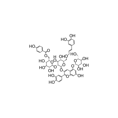 O=C(OC[C@H]1O[C@@H](O[C@H]2[C@H](Oc3cc4c(O[C@@H]5O[C@H](CO)[C@@H](O)[C@H](O)[C@H]5O)cc(O)cc4[o+]c3-c3ccc(O)c(O)c3)O[C@H](COC/C=C/c3ccc(O)c(O)c3)[C@@H](O)[C@@H]2O)[C@H](O)[C@@H](O)[C@@H]1O)c1ccc(O)cc1